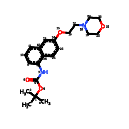 CC(C)(C)OC(=O)Nc1cccc2cc(OCCN3CCOCC3)ccc12